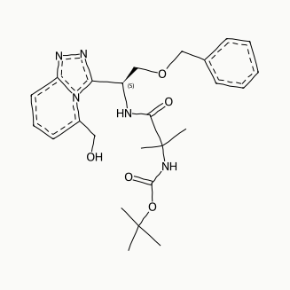 CC(C)(C)OC(=O)NC(C)(C)C(=O)N[C@H](COCc1ccccc1)c1nnc2cccc(CO)n12